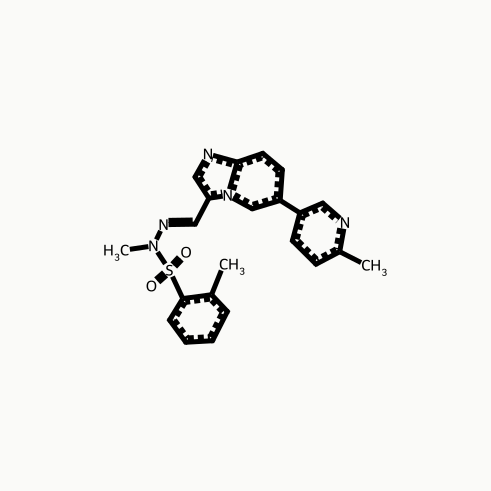 Cc1ccc(-c2ccc3ncc(/C=N/N(C)S(=O)(=O)c4ccccc4C)n3c2)cn1